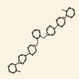 Cc1ccccc1-[n+]1ccc(-c2cc[n+](Cc3ccccc3C[n+]3ccc(-c4cc[n+](-c5ccccc5C)cc4)cc3)cc2)cc1